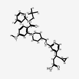 COc1ccc(C(=O)N(CC(C)(C)C)c2cc(C)ccn2)c(N2CCC(COc3cc(C(CC(=O)O)C4CC4)ccn3)CC2)c1